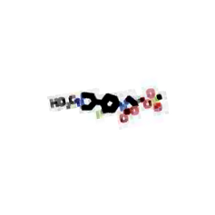 CS(=O)(=O)OC[C@H]1CN(c2ccc(C3CCN(C(=O)O)CC3)c(F)c2)C(=O)O1